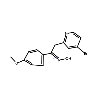 COc1ccc(/C(Cc2cc(Br)ccn2)=N/O)cc1